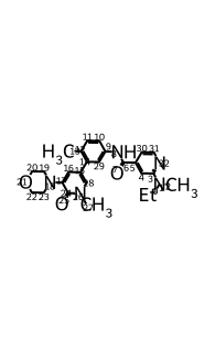 CCN(C)c1cc(C(=O)Nc2ccc(C)c(-c3cc(N4CCOCC4)c(=O)n(C)c3)c2)ccn1